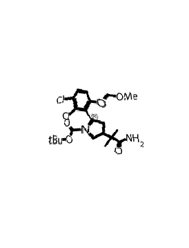 COCOc1ccc(Cl)c(Cl)c1[C@H]1CC(C(C)(C)C(N)=O)CN1C(=O)OC(C)(C)C